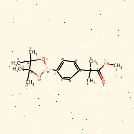 COC(=O)C(C)(C)c1ccc(B2OC(C)(C)C(C)(C)O2)cc1